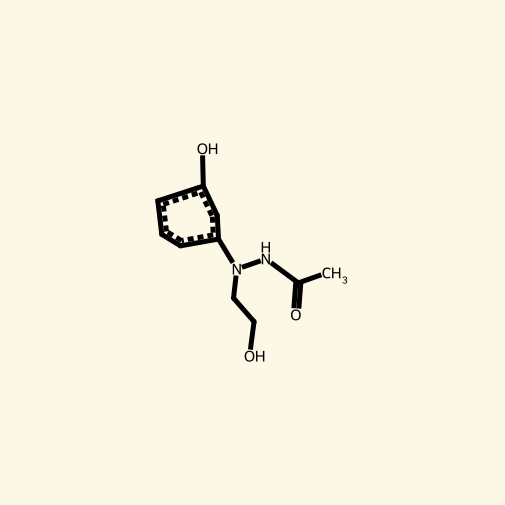 CC(=O)NN(CCO)c1cccc(O)c1